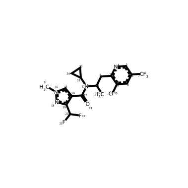 CC(Cc1ncc(C(F)(F)F)cc1Cl)N(C(=O)c1cn(C)nc1C(F)F)C1CC1